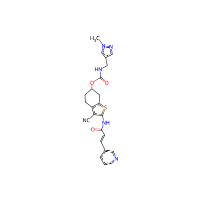 Cn1cc(CNC(=O)OC2CCc3c(sc(NC(=O)C=Cc4cccnc4)c3C#N)C2)cn1